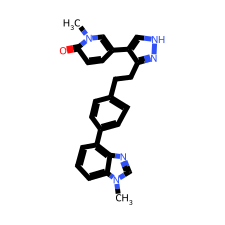 Cn1cc(-c2c[nH]nc2CCc2ccc(-c3cccc4c3ncn4C)cc2)ccc1=O